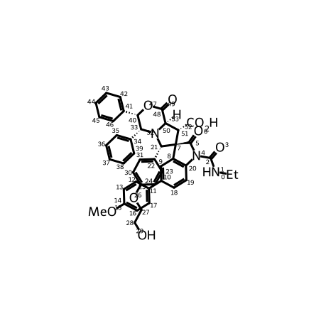 CCNC(=O)N1C(=O)[C@@]2(c3cc(-c4ccc(OC)cc4)ccc31)[C@H](c1ccc(OCCO)cc1)N1[C@H](c3ccccc3)[C@H](c3ccccc3)OC(=O)[C@H]1[C@@H]2C(=O)O